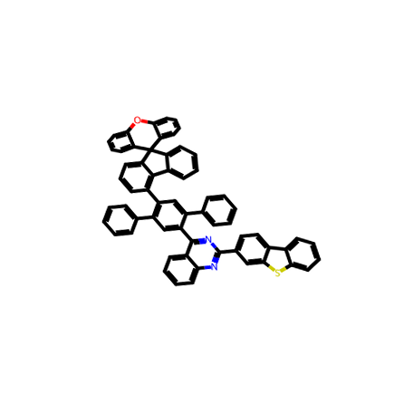 c1ccc(-c2cc(-c3nc(-c4ccc5c(c4)sc4ccccc45)nc4ccccc34)c(-c3ccccc3)cc2-c2cccc3c2-c2ccccc2C32c3ccccc3Oc3ccccc32)cc1